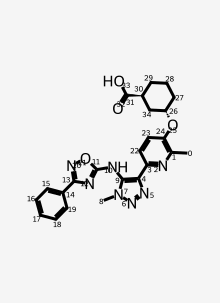 Cc1nc(-c2nnn(C)c2Nc2nc(-c3ccccc3)no2)ccc1O[C@H]1CCC[C@H](C(=O)O)C1